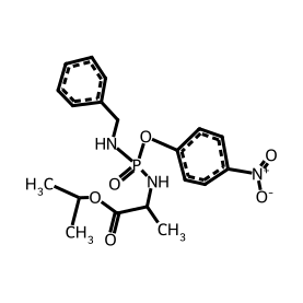 CC(C)OC(=O)C(C)NP(=O)(NCc1ccccc1)Oc1ccc([N+](=O)[O-])cc1